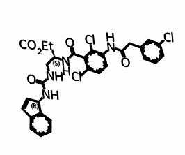 CCOC(=O)[C@H](CNC(=O)N[C@@H]1C=Cc2ccccc21)NC(=O)c1c(Cl)ccc(NC(=O)Cc2cccc(Cl)c2)c1Cl